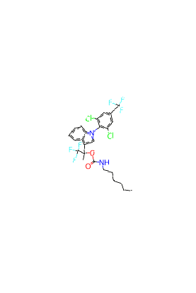 CCCCCCNC(=O)OC(C)(c1cn(-c2c(Cl)cc(C(F)(F)F)cc2Cl)c2ccccc12)C(F)(F)F